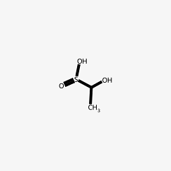 CC(O)S(=O)O